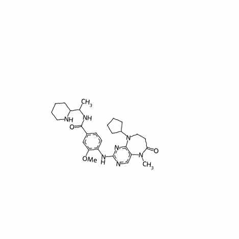 COc1cc(C(=O)NC(C)C2CCCCN2)ccc1Nc1ncc2c(n1)N(C1CCCC1)CCC(=O)N2C